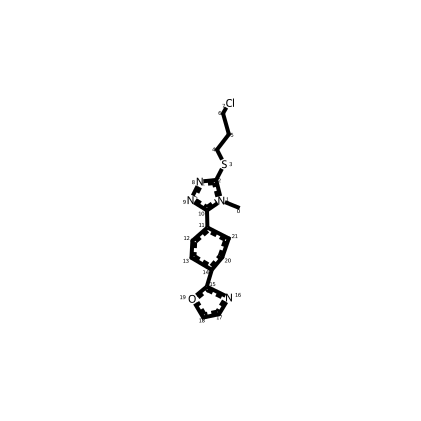 Cn1c(SCCCCl)nnc1-c1ccc(-c2ncco2)cc1